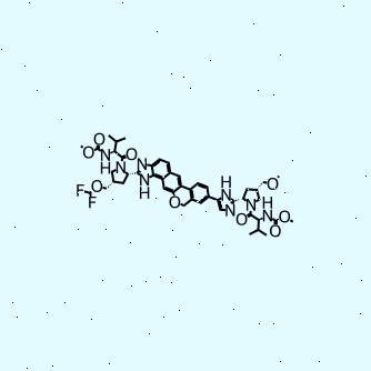 COC[C@H]1C[C@@H](c2ncc(-c3ccc4c(c3)COc3cc5c(ccc6nc([C@@H]7C[C@H](COC(F)F)CN7C(=O)[C@@H](NC(=O)OC)C(C)C)[nH]c65)cc3-4)[nH]2)N(C(=O)[C@@H](NC(=O)OC)C(C)C)C1